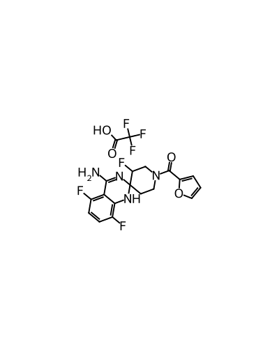 NC1=NC2(CCN(C(=O)c3ccco3)CC2F)Nc2c(F)ccc(F)c21.O=C(O)C(F)(F)F